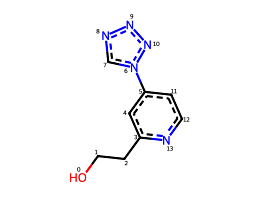 OCCc1cc(-n2cnnn2)ccn1